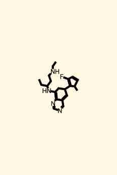 CCNCCC(CC)NC1=c2ncncc2=CC(C2=C(F)C=CC2C)C1